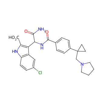 NC(=O)C(NC(=O)c1ccc(C2(CN3CCCC3)CC2)cc1)c1c(C(=O)O)[nH]c2ccc(Cl)cc12